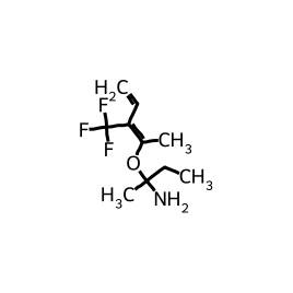 C=C/C(=C(\C)OC(C)(N)CC)C(F)(F)F